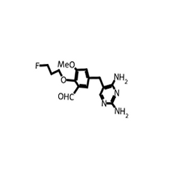 COc1cc(Cc2cnc(N)nc2N)cc(C=O)c1OCCCF